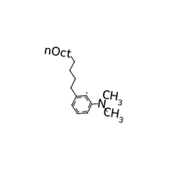 CCCCCCCCCCCCc1[c]c(N(C)C)ccc1